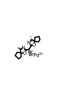 C[C@H]1N=C(CC2=N[C@H](C)C3(CCCC3)O2)OC12CCCC2.[Br-].[Br-].[Pd+2]